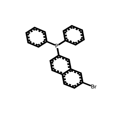 Brc1ccc2ccc(P(c3ccccc3)c3ccccc3)cc2c1